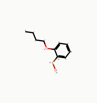 CCCCOc1ccccc1S[O]